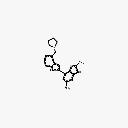 Cc1nc2c(-c3cc4c(CN5CCCC5)cccc4[nH]3)cc(N)nc2[nH]1